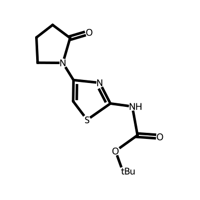 CC(C)(C)OC(=O)Nc1nc(N2CCCC2=O)cs1